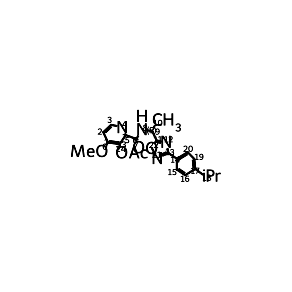 COc1ccnc(C(=O)N[C@@H](C)c2nc(-c3ccc(C(C)C)cc3)no2)c1OC(C)=O